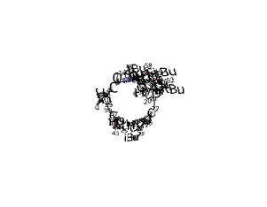 C=C1C[C@@H]2CCC(=O)/C=C/[C@H](O[Si](C)(C)C(C)(C)C)[C@@H]3O[C@H]4CCC(CCC[C@@H]5[C@@H](C)[C@@H](C[C@H](C)CC)O[C@H]5CC5O[C@@H](CCC1O2)C[C@@H](C)C5=C)O[C@@H]4[C@H](O[Si](C)(C)C(C)(C)C)[C@@H]3O[Si](C)(C)C(C)(C)C